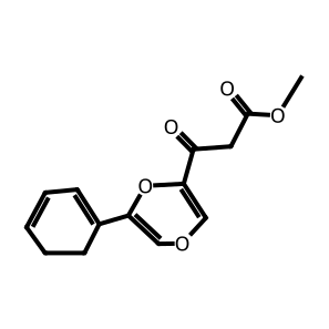 COC(=O)CC(=O)C1=COC=C(C2=CC=CCC2)O1